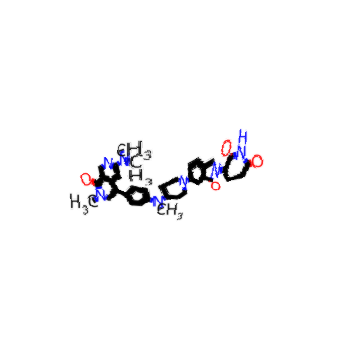 CN(C)c1cc2c(-c3ccc(N(C)C4CCN(c5ccc6c(c5)C(=O)N(C5CCC(=O)NC5=O)C6)CC4)cc3)cn(C)c(=O)c2cn1